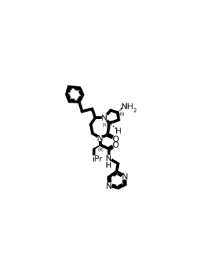 CC(C)C[C@H](C(=O)NCc1cnccn1)N1CCC(CCc2ccccc2)N2C[C@H](N)C[C@H]2C1=O